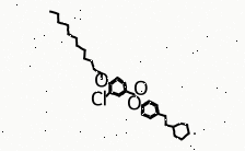 CCCCCCCCCCCCOc1ccc(C(=O)Oc2ccc(CCC3CC[CH]CC3)cc2)cc1Cl